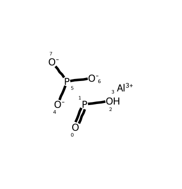 O=PO.[Al+3].[O-]P([O-])[O-]